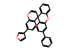 c1ccc(-c2ccc3c(c2)Oc2ccccc2C32c3ccccc3Oc3cc(-c4ccoc4)ccc32)cc1